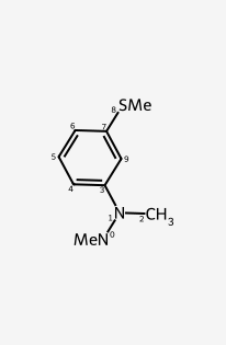 CNN(C)c1cccc(SC)c1